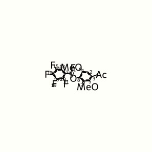 COc1cc(C(C)=O)cc(OC)c1OC(F)c1cc(F)c(F)c(F)c1F